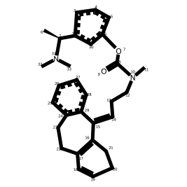 C[C@@H](c1cccc(OC(=O)N(C)CC/C=C2/C3=C(C=CCC3)CCc3ccccc32)c1)N(C)C